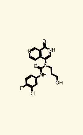 O=C(Nc1ccc(F)c(Cl)c1)N(CCCO)c1c[nH]c(=O)c2cnccc12